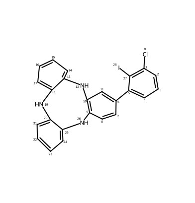 Clc1cccc(-c2ccc3c(c2)Nc2ccccc2Nc2ccccc2N3)c1I